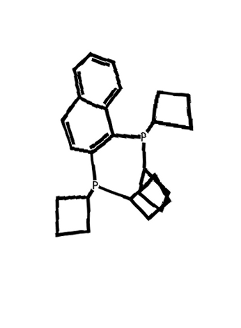 c1ccc2c(P(C3CCC3)C3CCC3)c(P(C3CCC3)C3CCC3)ccc2c1